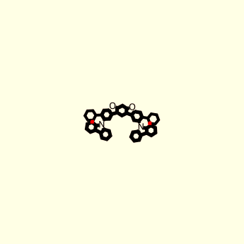 c1ccc2c(c1)c1ccccc1n2-c1cc2c(cc1C1CCCCC1)oc1cc3oc4cc(C5CCCCC5)c(-n5c6ccccc6c6ccccc65)cc4c3cc12